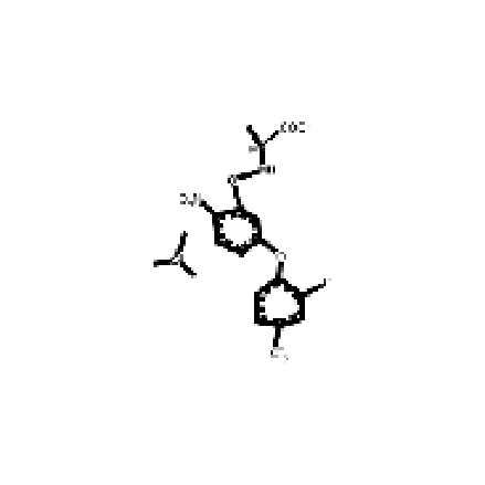 C[C@H](NOc1cc(Oc2ccc(C(F)(F)F)cc2Cl)ccc1[N+](=O)[O-])C(=O)[O-].C[S+](C)C